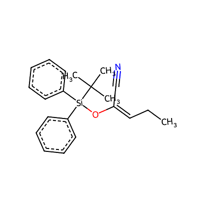 CCC=C(C#N)O[Si](c1ccccc1)(c1ccccc1)C(C)(C)C